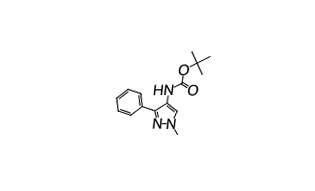 Cn1cc(NC(=O)OC(C)(C)C)c(-c2ccccc2)n1